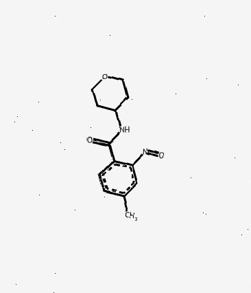 Cc1ccc(C(=O)NC2CCOCC2)c(N=O)c1